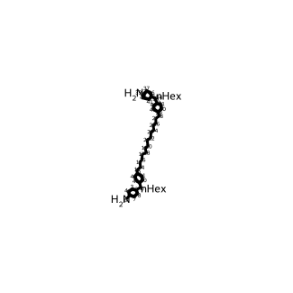 CCCCCCC(c1ccc(N)cc1)c1ccc(CCCCCCCCCCCCCCCCc2ccc(C(CCCCCC)c3ccc(N)cc3)cc2)cc1